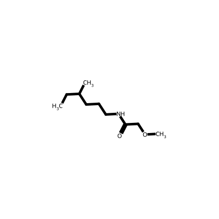 CCC(C)CCCNC(=O)COC